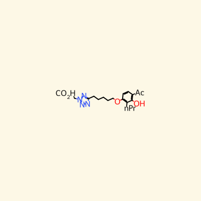 CCCc1c(OCCCCCc2nnn(CC(=O)O)n2)ccc(C(C)=O)c1O